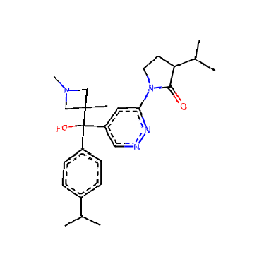 CC(C)c1ccc(C(O)(c2cnnc(N3CCC(C(C)C)C3=O)c2)C2(C)CN(C)C2)cc1